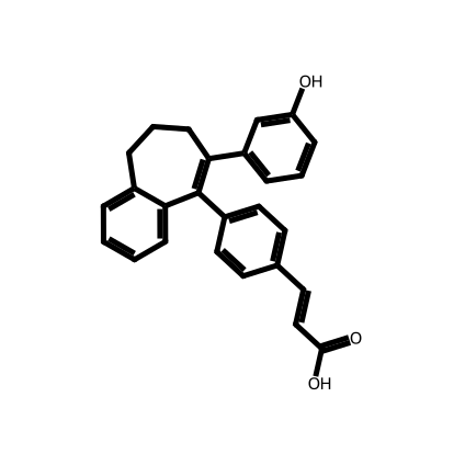 O=C(O)/C=C/c1ccc(C2=C(c3cccc(O)c3)CCCc3ccccc32)cc1